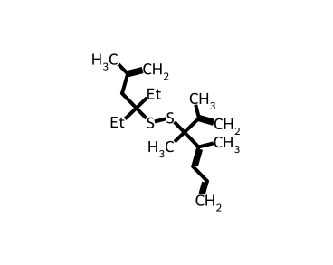 C=C/C=C(\C)C(C)(SSC(CC)(CC)CC(=C)C)C(=C)C